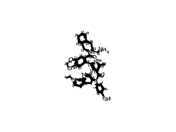 CCn1ccc2cc(N(C(=O)c3cc(-c4cc5c(cc4C(=O)N4Cc6ccccc6C[C@H]4CN)OCO5)n(C)c3C)c3ccc(O)cc3)cnc21